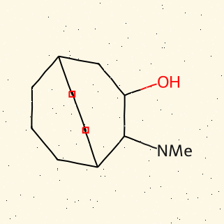 CNC1C(O)CC2CCCCC1CCC2